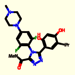 CNC(=O)c1nnc(-c2cc(C(C)C)c(O)cc2O)n1-c1c(F)cc(N2CCN(C)CC2)cc1F